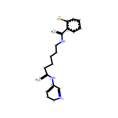 C=C(CCCCCNC(=C)c1ccccc1S)NC1=CCCN=C1